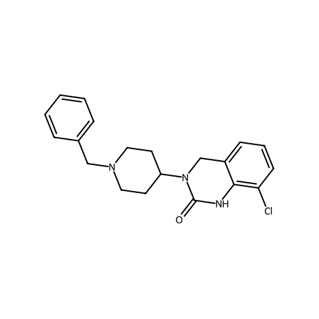 O=C1Nc2c(Cl)cccc2CN1C1CCN(Cc2ccccc2)CC1